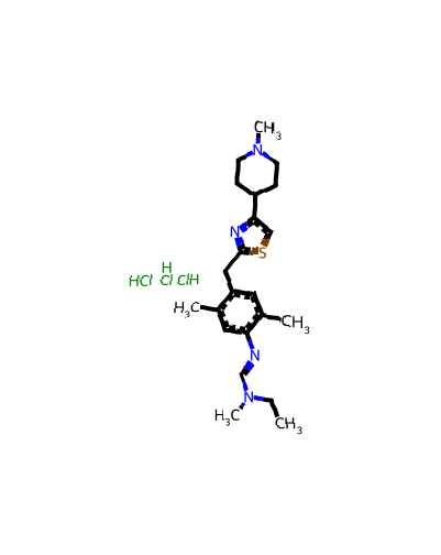 CCN(C)C=Nc1cc(C)c(Cc2nc(C3CCN(C)CC3)cs2)cc1C.Cl.Cl.Cl